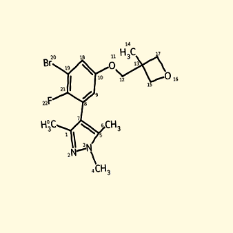 Cc1nn(C)c(C)c1-c1cc(OCC2(C)COC2)cc(Br)c1F